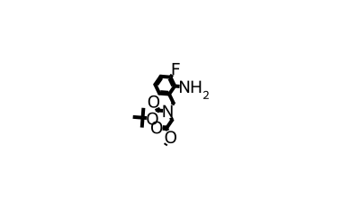 COC(=O)CN(Cc1cccc(F)c1N)C(=O)OC(C)(C)C